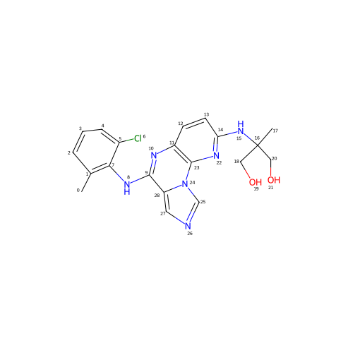 Cc1cccc(Cl)c1Nc1nc2ccc(NC(C)(CO)CO)nc2n2cncc12